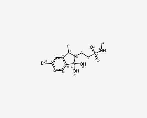 CNS(=O)(=O)CCN1C(C)c2cc(Br)ccc2S1(O)O